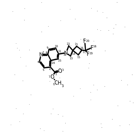 COC(=O)c1ccnc2ccc(N3CC4(CC(C(F)(F)F)C4)C3)cc12